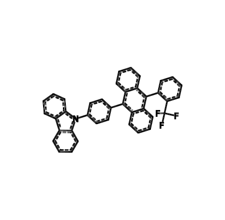 FC(F)(F)c1ccccc1-c1c2ccccc2c(-c2ccc(-n3c4ccccc4c4ccccc43)cc2)c2ccccc12